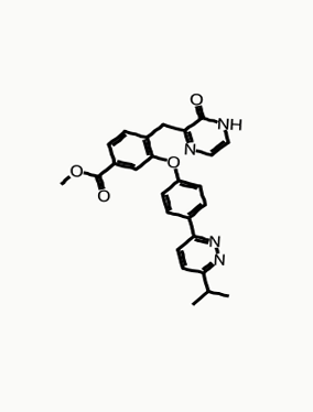 COC(=O)c1ccc(Cc2ncc[nH]c2=O)c(Oc2ccc(-c3ccc(C(C)C)nn3)cc2)c1